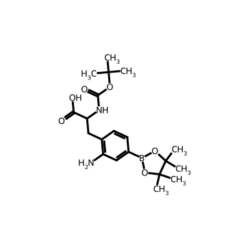 CC(C)(C)OC(=O)NC(Cc1ccc(B2OC(C)(C)C(C)(C)O2)cc1N)C(=O)O